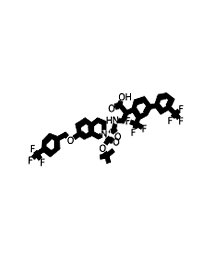 CC(C)(C)OC(=O)[N+]1(C(=O)NCC(C(=O)O)c2ccc(-c3cccc(C(F)(F)F)c3)cc2C(F)(F)F)CCc2ccc(OCc3ccc(C(F)(F)F)cc3)cc2C1